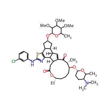 CC[C@H]1CCC[C@H](O[C@H]2CC[C@H](N(C)C)C(C)O2)[C@@H](C)C(=O)C2=C[C@@H]3C(c4nc(Nc5cccc(Cl)c5)sc4C4C[C@@H](O[C@@H]5OC(C)[C@H](OC)C(OC)C5OC)C[C@H]43)[C@@H]2CC(=O)O1